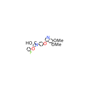 COc1cc2nccc(Oc3ccc(N(CCOc4ccccc4F)C(=O)O)cc3)c2cc1OC